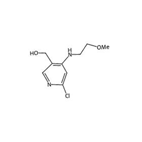 COCCNc1cc(Cl)ncc1CO